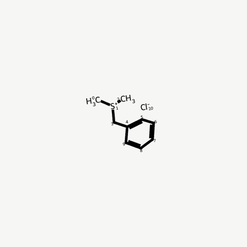 C[S+](C)Cc1ccccc1.[Cl-]